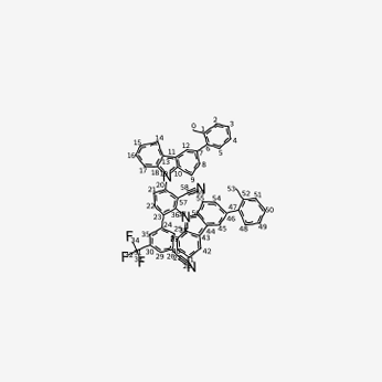 Cc1ccccc1-c1ccc2c(c1)c1ccccc1n2-c1ccc(-c2cc(C#N)cc(C(F)(F)F)c2)c(-n2c3ccccc3c3cc(-c4ccccc4C)ccc32)c1C#N